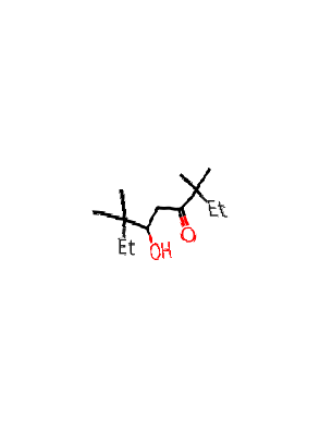 CCC(C)(C)C(=O)CC(O)C(C)(C)CC